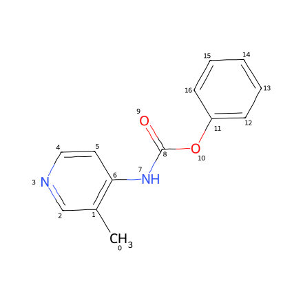 Cc1cnccc1NC(=O)Oc1ccccc1